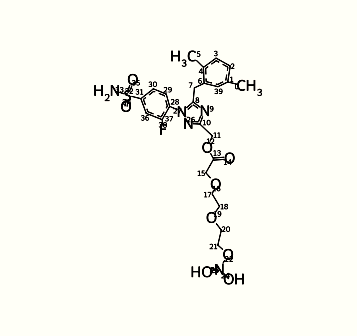 Cc1ccc(C)c(Cc2nc(COC(=O)COCCOCCON(O)O)nn2-c2ccc(S(N)(=O)=O)cc2F)c1